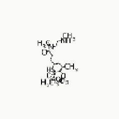 CNCCN(C)C(=O)CCc1cc(C)c(OC)c(C(C)(C)C)c1